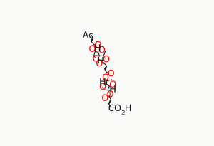 CC(=O)/C=C/C(=O)O[C@H]1CO[C@H]2[C@@H]1OC[C@@H]2OC(=O)/C=C/C(=O)O[C@H]1CO[C@H]2[C@@H]1OC[C@@H]2OC(=O)/C=C/C(=O)O